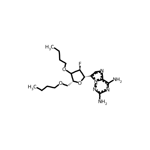 CCCCOC[C@H]1O[C@@H](c2cnc3c(N)nc(N)nn23)[C@H](F)C1OCCCC